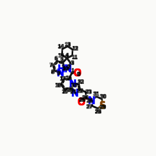 O=C(NCC1(c2cccnc2)CCCCC1)c1cccc2nc(CC(=O)N3CCSCC3)cn12